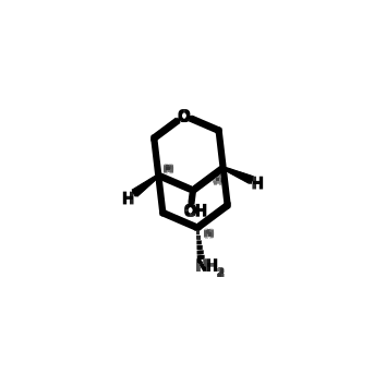 N[C@H]1C[C@H]2COC[C@@H](C1)C2O